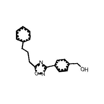 OCc1ccc(-c2noc(CCCc3ccccc3)n2)cc1